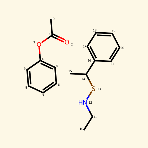 CC(=O)Oc1ccccc1.CCNSC(C)c1ccccc1